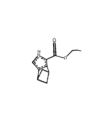 CCOC(=O)c1[nH]cc2c1C1CC2C1